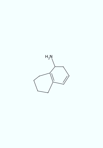 NC1CC=CC2=C1CCCC2